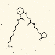 CCCCCCCCCCCCCCCCCCNC(=O)N1CCCCC1CCOC(=O)NCCCN1CCCC1=O